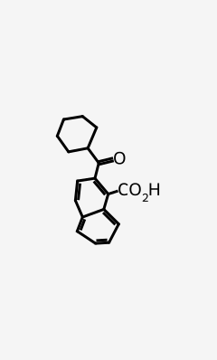 O=C(O)c1c(C(=O)C2CCCCC2)ccc2ccccc12